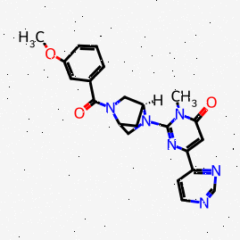 COc1cccc(C(=O)N2C[C@@H]3CC2CN3c2nc(-c3ccncn3)cc(=O)n2C)c1